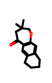 CC1(C)COc2cc3c(cc2C(=O)C1)CCCC3